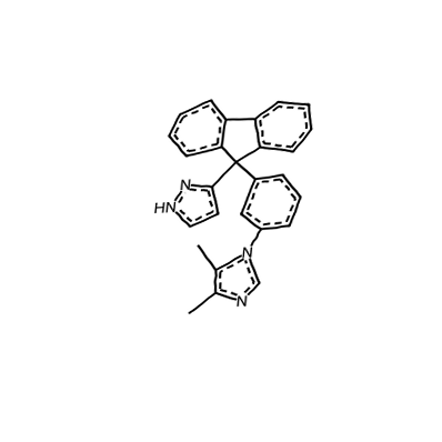 Cc1ncn(-c2cccc(C3(c4cc[nH]n4)c4ccccc4-c4ccccc43)c2)c1C